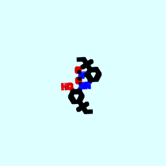 CCC(C)(C)c1ccc(O)c(N=Nc2cccc(C(C)(C)CC)c2[N+](=O)[O-])c1